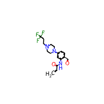 C=CC(=O)Nc1cc(N2CCN(CCC(F)(F)F)CC2)ccc1C=O